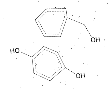 OCc1ccccc1.Oc1ccc(O)cc1